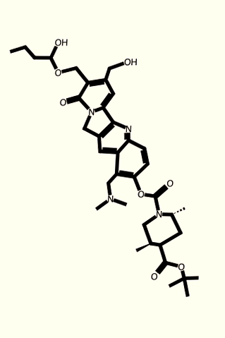 CCCC(O)OCc1c(CO)cc2n(c1=O)Cc1cc3c(CN(C)C)c(OC(=O)N4C[C@H](C)C(C(=O)OC(C)(C)C)C[C@H]4C)ccc3nc1-2